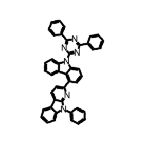 c1ccc(-c2nc(-c3ccccc3)nc(-n3c4ccccc4c4c(-c5ccc6c7ccccc7n(-c7ccccc7)c6n5)cccc43)n2)cc1